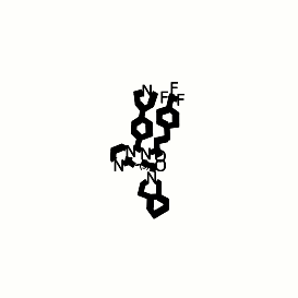 O=C([C@H](Cc1ncccn1)N(Cc1ccc(-c2ccncc2)cc1)C(=O)C=Cc1ccc(C(F)(F)F)cc1)N1CCc2ccccc2C1